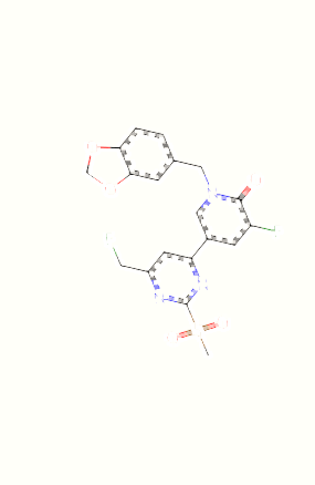 CS(=O)(=O)c1nc(CF)cc(-c2cc(F)c(=O)n(Cc3ccc4c(c3)OCO4)c2)n1